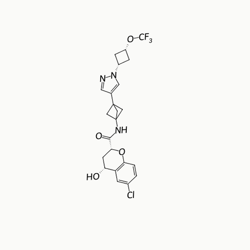 O=C(NC12CC(c3cnn([C@H]4C[C@@H](OC(F)(F)F)C4)c3)(C1)C2)[C@H]1C[C@@H](O)c2cc(Cl)ccc2O1